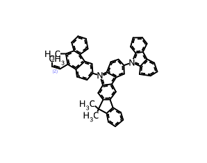 C/C=C\c1c(C)c2ccccc2c2cc(-n3c4ccc(-n5c6ccccc6c6ccccc65)cc4c4cc5c(cc43)C(C)(C)c3ccccc3-5)ccc12